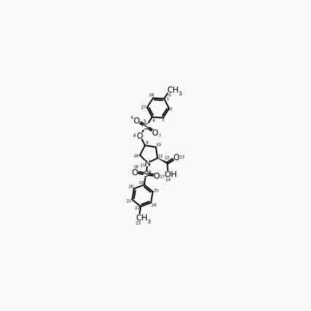 Cc1ccc(S(=O)(=O)OC2C[C@@H](C(=O)O)N(S(=O)(=O)c3ccc(C)cc3)C2)cc1